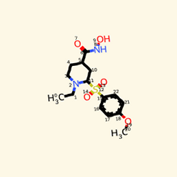 CCN1CCC(C(=O)NO)CC1S(=O)(=O)c1ccc(OC)cc1